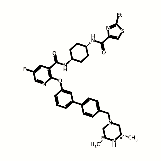 CCc1nc(C(=O)N[C@H]2CC[C@H](NC(=O)c3cc(F)cnc3Oc3cccc(-c4ccc(CN5C[C@@H](C)N[C@@H](C)C5)cc4)c3)CC2)cs1